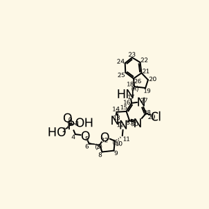 O=P(O)(O)COC[C@@H]1CC[C@@H](Cn2ncc3c(N[C@@H]4CCc5ccccc54)nc(Cl)nc32)O1